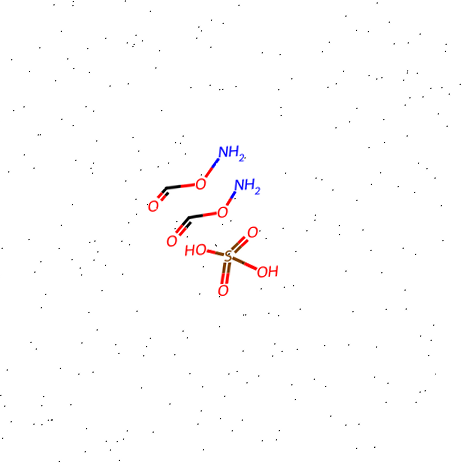 NOC=O.NOC=O.O=S(=O)(O)O